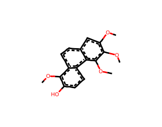 COc1cc2ccc3c(OC)c(O)ccc3c2c(OC)c1OC